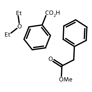 CCOCC.COC(=O)Cc1ccccc1.O=C(O)c1ccccc1